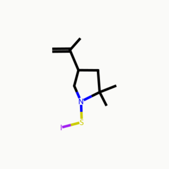 C=C(C)C1CN(SI)C(C)(C)C1